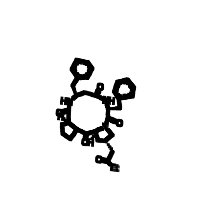 CCC(=O)C[C@@H]1C[C@H]2C(=O)C3CCC[C@H]3C(=O)N[C@@H](Cc3ccccc3)CC(=O)N[C@@H](Cc3ccccc3)C(=O)N2C1